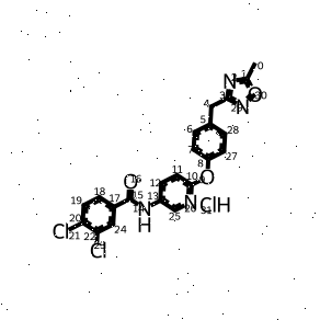 Cc1nc(Cc2ccc(Oc3ccc(NC(=O)c4ccc(Cl)c(Cl)c4)cn3)cc2)no1.Cl